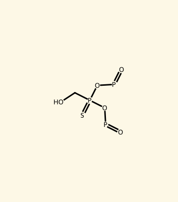 O=POP(=S)(CO)OP=O